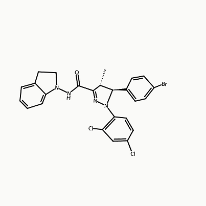 C[C@H]1C(C(=O)NN2CCc3ccccc32)=NN(c2ccc(Cl)cc2Cl)[C@@H]1c1ccc(Br)cc1